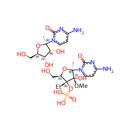 CC[C@@]1(OP(=O)(O)O)[C@@H](CO)O[C@@](C)(n2ccc(N)nc2=O)[C@@]1(O)OC.C[C@@]1(n2ccc(N)nc2=O)O[C@H](CO)[C@@H](O)[C@H]1O